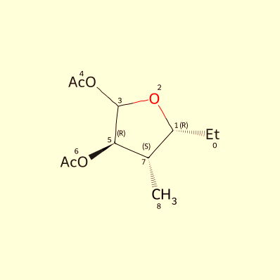 CC[C@H]1OC(OC(C)=O)[C@H](OC(C)=O)[C@H]1C